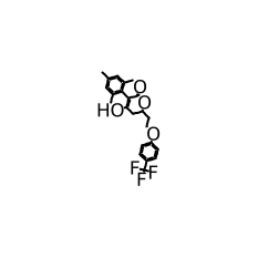 Cc1cc(C)c(C2=C(O)CC(CCOc3ccc(C(F)(F)F)cc3)OC2=O)c(C)c1